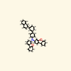 C1=Cc2c(oc3c(N(c4ccc(-c5cccc(-c6ccc7ccccc7c6)c5)cc4)c4ccc5c(c4)oc4ccccc45)cccc23)CC1